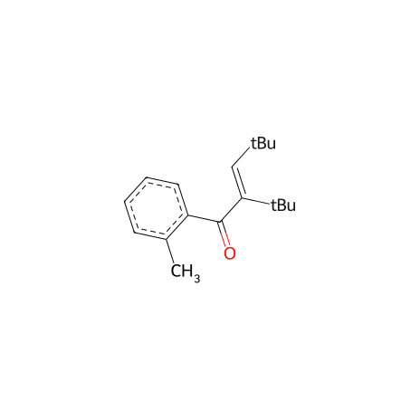 Cc1ccccc1C(=O)C(=CC(C)(C)C)C(C)(C)C